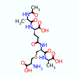 CC(=O)N[C@@H](C)C(=O)N[C@H](CCC(=O)N[C@H](CSC[C@H](N)C(=O)O)C(=O)N[C@H](C)C(=O)O)C(=O)O